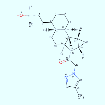 CCC(C)(O)CC[C@H]1CCC[C@@H]2[C@@H]1CC[C@@]1(C)[C@H]2[C@@H]2C[C@@H]2[C@@H]1C(=O)Cn1cc(C(F)(F)F)cn1